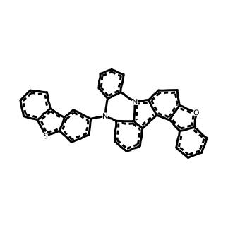 c1ccc2c(c1)N(c1ccc3sc4ccccc4c3c1)c1cccc3c4c5c(ccc4n-2c13)oc1ccccc15